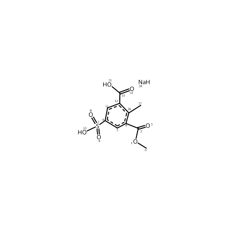 COC(=O)c1cc(S(=O)(=O)O)cc(C(=O)O)c1C.[NaH]